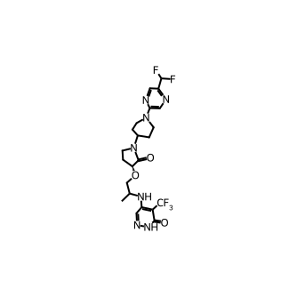 CC(CO[C@H]1CCN(C2CCN(c3cnc(C(F)F)cn3)CC2)C1=O)Nc1cn[nH]c(=O)c1C(F)(F)F